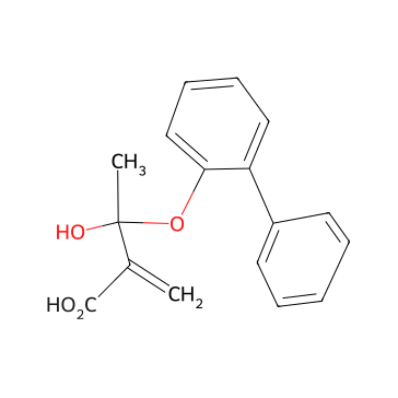 C=C(C(=O)O)C(C)(O)Oc1ccccc1-c1ccccc1